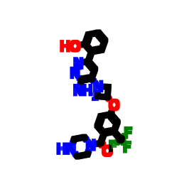 Nc1nnc(-c2ccccc2O)cc1N1CC(Oc2ccc(C(=O)N3CCNCC3)c(C(F)(F)F)c2)C1